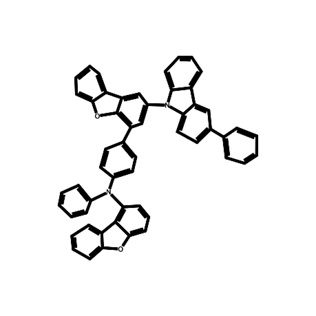 c1ccc(-c2ccc3c(c2)c2ccccc2n3-c2cc(-c3ccc(N(c4ccccc4)c4cccc5oc6ccccc6c45)cc3)c3oc4ccccc4c3c2)cc1